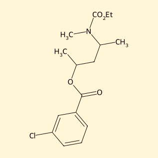 CCOC(=O)N(C)C(C)CC(C)OC(=O)c1cccc(Cl)c1